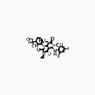 Cc1c(=O)n(C)c(Nc2ccc(I)cc2F)c2c(=O)n(C3CC3)c(=O)n(-c3cccc(C4(O)COC4)c3)c12